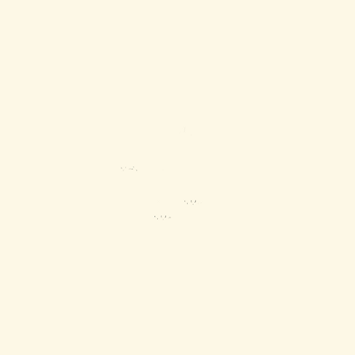 C=CCc1cc(NC)c(NC)cc1NC